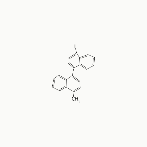 Cc1ccc(-c2ccc(I)c3ccccc23)c2ccccc12